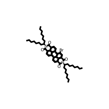 CCCCCCCC(CCCCCCC)N1C(=O)c2ccc3c4ccc5c6c(cc(Br)c(c7ccc(c2c37)C1=O)c64)C(=O)N(C(CCCCCCC)CCCCCCC)C5=O